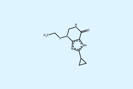 CCSN1CNC(=O)c2[nH]c(C3CC3)nc21